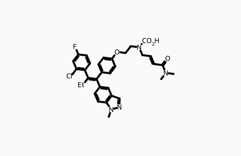 CC/C(=C(/c1ccc(OCCN(C/C=C/C(=O)N(C)C)C(=O)O)cc1)c1ccc2c(cnn2C)c1)c1ccc(F)cc1Cl